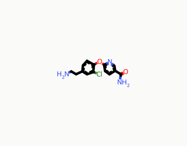 NCCc1ccc(Oc2ccc(C(N)=O)cn2)c(Cl)c1